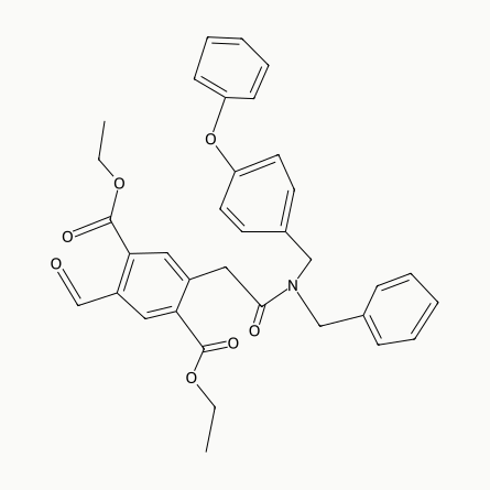 CCOC(=O)c1cc(CC(=O)N(Cc2ccccc2)Cc2ccc(Oc3ccccc3)cc2)c(C(=O)OCC)cc1C=O